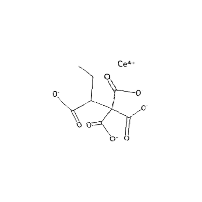 CCC(C(=O)[O-])C(C(=O)[O-])(C(=O)[O-])C(=O)[O-].[Ce+4]